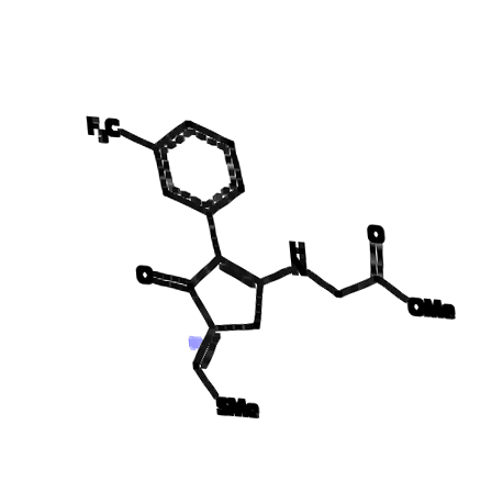 COC(=O)CNC1=C(c2cccc(C(F)(F)F)c2)C(=O)/C(=C/SC)C1